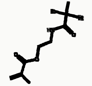 C=C(C)C(=O)OCCNC(=O)C(C)(CC)CC